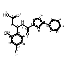 O=C(O)CC(NC(=O)c1csc(-c2ccccc2)n1)c1ccc(Cl)cc1Cl